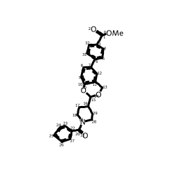 COC(=O)c1ccc(-c2ccc3c(c2)COC(C2CCN(C(=O)c4ccccc4)CC2)O3)cc1